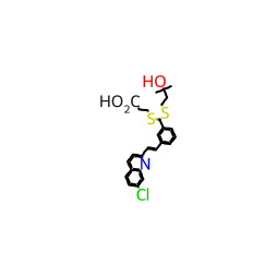 CC(C)(O)CCSC(SCCC(=O)O)c1cccc(C=Cc2ccc3ccc(Cl)cc3n2)c1